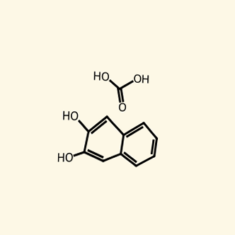 O=C(O)O.Oc1cc2ccccc2cc1O